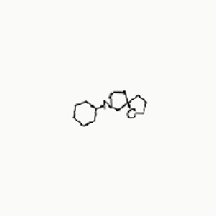 C1CCC(N2CCC3(CCCO3)C2)CC1